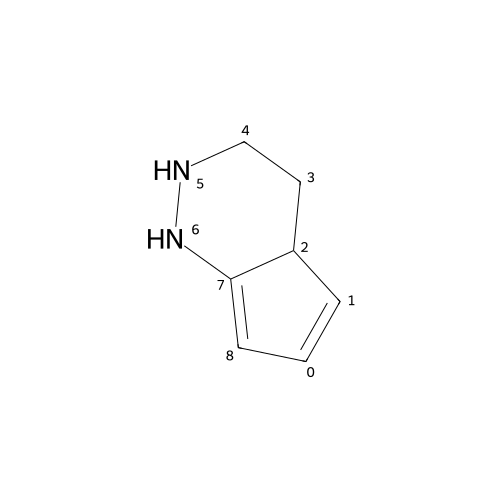 C1=CC2CCNNC2=C1